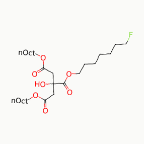 CCCCCCCCOC(=O)CC(O)(CC(=O)OCCCCCCCC)C(=O)OCCCCCCCF